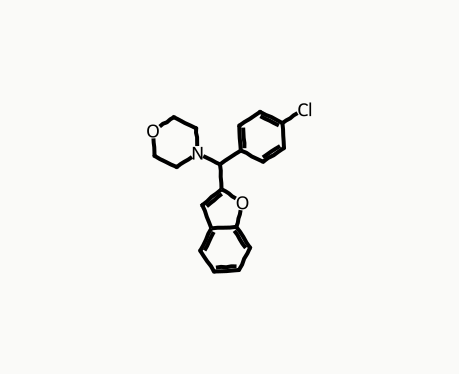 Clc1ccc(C(c2cc3ccccc3o2)N2CCOCC2)cc1